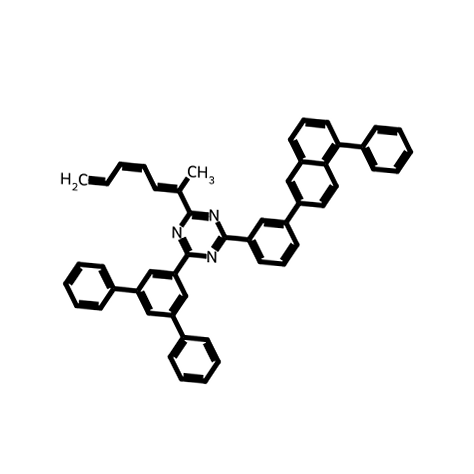 C=C/C=C\C=C(/C)c1nc(-c2cccc(-c3ccc4c(-c5ccccc5)cccc4c3)c2)nc(-c2cc(-c3ccccc3)cc(-c3ccccc3)c2)n1